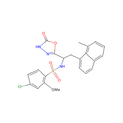 COc1cc(Cl)ccc1S(=O)(=O)NC(Cc1cccc2cccc(C)c12)c1n[nH]c(=O)o1